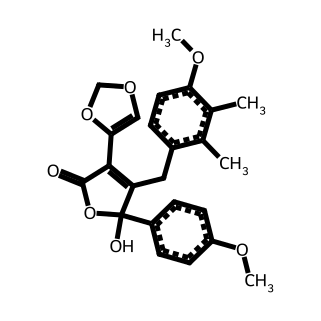 COc1ccc(C2(O)OC(=O)C(C3=COCO3)=C2Cc2ccc(OC)c(C)c2C)cc1